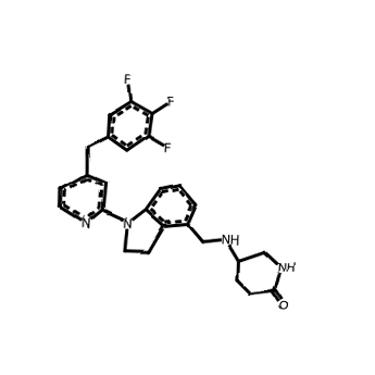 O=C1CCC(NCc2cccc3c2CCN3c2cc(Cc3cc(F)c(F)c(F)c3)ccn2)CN1